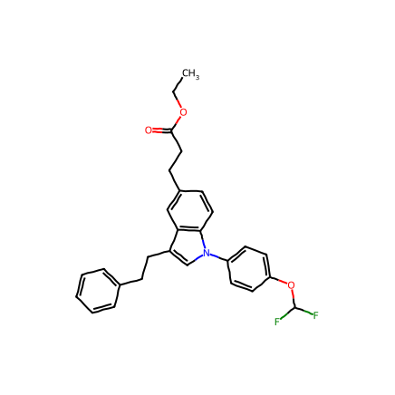 CCOC(=O)CCc1ccc2c(c1)c(CCc1ccccc1)cn2-c1ccc(OC(F)F)cc1